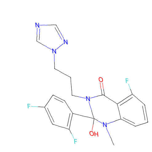 CN1c2cccc(F)c2C(=O)N(CCCn2cncn2)C1(O)c1ccc(F)cc1F